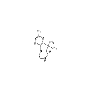 CC1(C)c2cc(C(F)(F)F)cnc2N2CCNC[C@@H]21